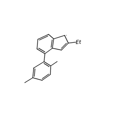 CCC1=Cc2c(cccc2-c2cc(C)ccc2C)[CH]1